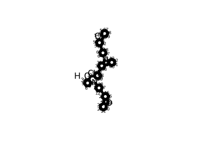 CC1(C)c2ccccc2N(c2ccc(-c3ccc4oc5ccccc5c4c3)cc2)c2ccc(-c3ccc4c(c3)c3ccccc3n4-c3ccc(-c4ccc5oc6ccccc6c5c4)cc3)cc21